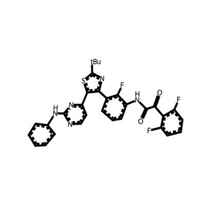 CC(C)(C)c1nc(-c2cccc(NC(=O)C(=O)c3c(F)cccc3F)c2F)c(-c2ccnc(Nc3ccccc3)n2)s1